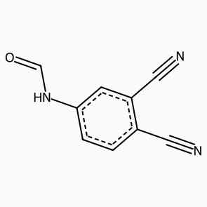 N#Cc1ccc(NC=O)cc1C#N